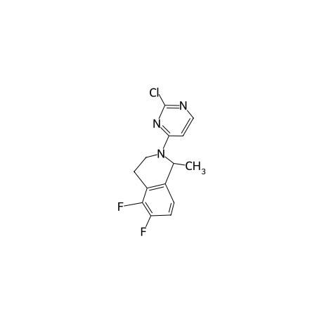 CC1c2ccc(F)c(F)c2CCN1c1ccnc(Cl)n1